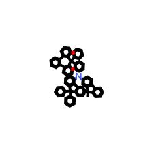 CC1(C)c2ccccc2-c2ccc(N(c3cccc(C4(c5ccccc5)c5ccccc5-c5ccccc5-c5ccccc54)c3)c3cccc4c3-c3ccccc3C4(c3ccccc3)c3ccccc3)cc21